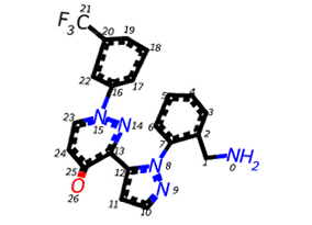 NCc1ccccc1-n1nccc1-c1nn(-c2cccc(C(F)(F)F)c2)ccc1=O